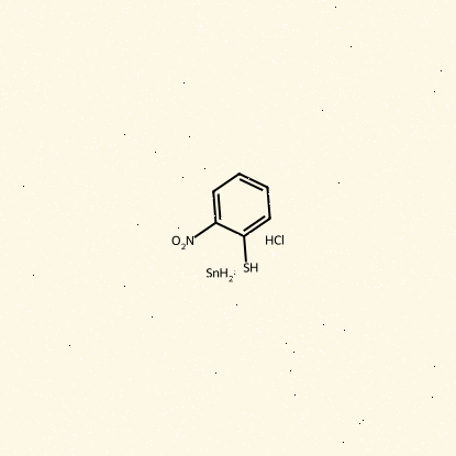 Cl.O=[N+]([O-])c1ccccc1S.[SnH2]